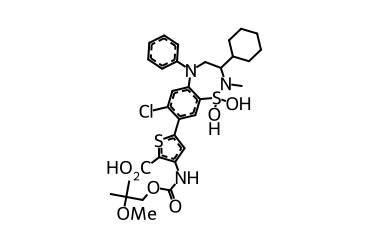 COC(C)(C)COC(=O)Nc1cc(-c2cc3c(cc2Cl)N(c2ccccc2)CC(C2CCCCC2)N(C)S3(O)O)sc1C(=O)O